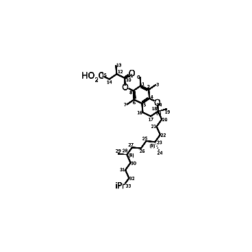 Cc1c(C)c2c(c(C)c1OC(=O)C(C)CC(=O)O)CC[C@@](C)(CCC[C@H](C)CCC[C@H](C)CCCC(C)C)O2